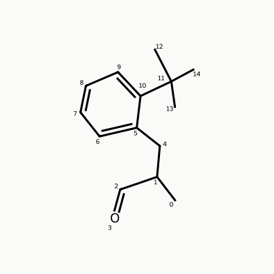 CC(C=O)Cc1ccccc1C(C)(C)C